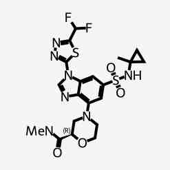 CNC(=O)[C@H]1CN(c2cc(S(=O)(=O)NC3(C)CC3)cc3c2ncn3-c2nnc(C(F)F)s2)CCO1